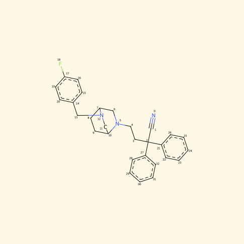 N#CC(CCN1CC2CCC1CN2Cc1ccc(F)cc1)(c1ccccc1)c1ccccc1